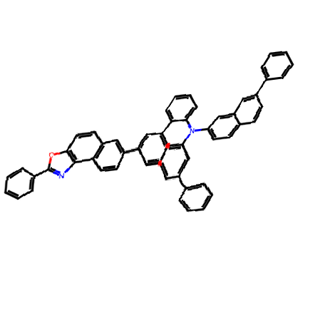 c1ccc(-c2cccc(N(c3ccc4ccc(-c5ccccc5)cc4c3)c3ccccc3-c3cccc(-c4ccc5c(ccc6oc(-c7ccccc7)nc65)c4)c3)c2)cc1